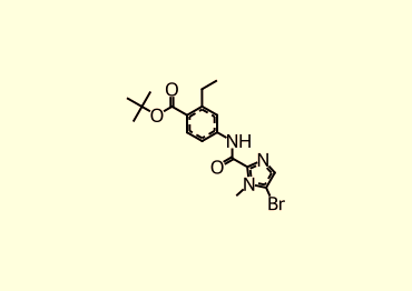 CCc1cc(NC(=O)c2ncc(Br)n2C)ccc1C(=O)OC(C)(C)C